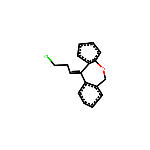 ClCCC=C1c2ccccc2COc2ccccc21